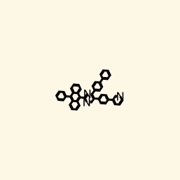 c1ccc(-c2ccc(-c3nc(-c4c5ccccc5c(-c5ccccc5)c5ccccc45)ncc3-c3ccc(-c4cccnc4)cc3)cc2)cc1